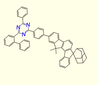 CC1(C)c2cc(-c3ccc(-c4nc(-c5ccccc5)nc(-c5ccccc5-c5ccccc5)n4)cc3)ccc2-c2ccc3c(c21)-c1ccccc1C31C2CC3CC(C2)CC1C3